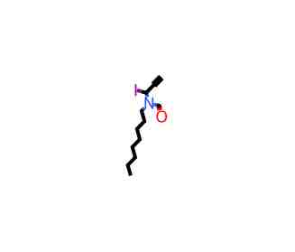 C#CC(I)N(C=O)CCCCCCCC